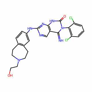 N=c1c2cnc(Nc3ccc4c(c3)CCN(CCO)CC4)nc2[nH]c(=O)n1-c1c(Cl)cccc1Cl